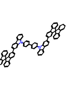 C1=C(c2ccc(-n3c4ccccc4c4ccc(-c5ccc6c(c5)C5(c7ccccc7-c7ccccc75)c5ccccc5-6)cc43)cc2)CCC(n2c3ccccc3c3ccc(-c4ccc5c(c4)C4(C6=CCCC=C6c6ccccc64)c4ccccc4-5)cc32)=C1